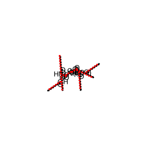 CCCCCCCCCCCC(=O)CC(=O)NC(COCCC(CCCCCCC)OC(=O)CCCCCCCCCCC)CO[PH](=O)OCCNC(=O)NCCO[PH](=O)OCC(COCCC(CCCCCCC)OC(=O)CCCCCCCCCCC)NC(=O)CC(=O)CCCCCCCCCCC